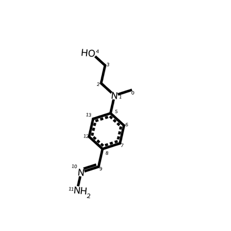 CN(CCO)c1ccc(C=NN)cc1